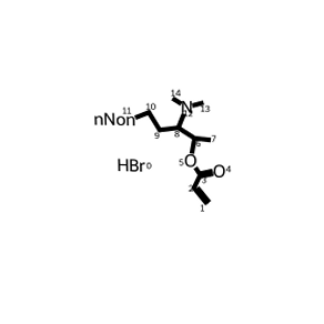 Br.C=CC(=O)OC(C)C(CCCCCCCCCCC)N(C)C